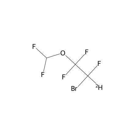 [2H]C(F)(Br)C(F)(F)OC(F)F